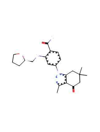 Cc1nn(-c2ccc(C(N)=O)c(NC[C@H]3CCCO3)c2)c2c1C(=O)CC(C)(C)C2